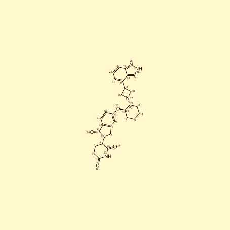 O=C1CCC(N2Cc3cc(O[C@@H]4CCCC[C@H]4N4CC(c5cccc6n[nH]cc56)C4)ccc3C2=O)C(=O)N1